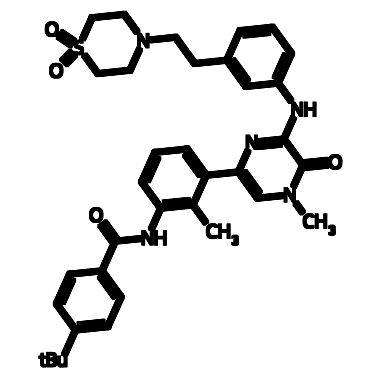 Cc1c(NC(=O)c2ccc(C(C)(C)C)cc2)cccc1-c1cn(C)c(=O)c(Nc2cccc(CCN3CCS(=O)(=O)CC3)c2)n1